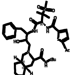 CC(=O)c1ccc(C(=O)N[C@H](C(=O)NC(Cc2ccccc2)C(O)CN2C[C@H]3CCCC[C@H]3CC2C(=O)NC(C)(C)C)C(C)(C)S(C)(=O)=O)s1